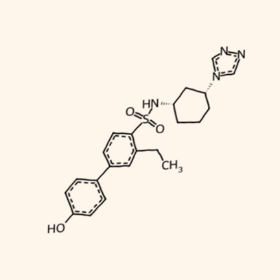 CCc1cc(-c2ccc(O)cc2)ccc1S(=O)(=O)N[C@H]1CCC[C@@H](n2cnnc2)C1